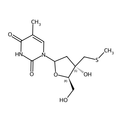 CSC[C@]1(O)CC(n2cc(C)c(=O)[nH]c2=O)O[C@@H]1CO